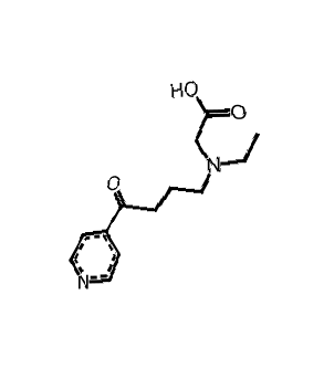 CCN(CCCC(=O)c1ccncc1)CC(=O)O